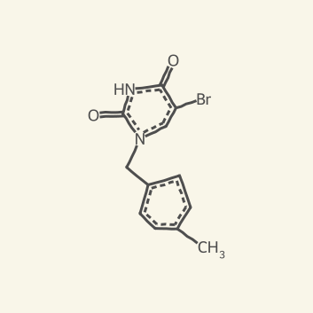 Cc1ccc(Cn2cc(Br)c(=O)[nH]c2=O)cc1